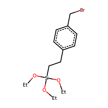 CCO[Si](CCc1ccc(CBr)cc1)(OCC)OCC